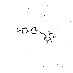 COc1ccc(-c2ccc(CCCN[C@H](C(C)=O)[C@](C)(O)C(F)F)cc2)cc1